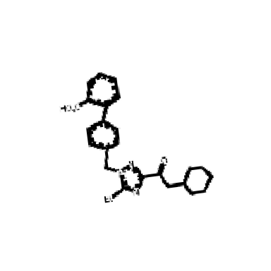 CCc1nc(C(=O)CC2CCCCC2)nn1Cc1ccc(-c2ccccc2C(=O)O)cc1